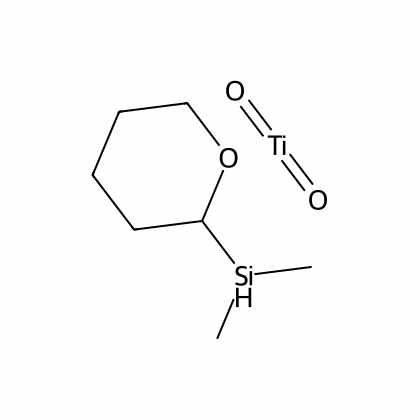 C[SiH](C)C1CCCCO1.[O]=[Ti]=[O]